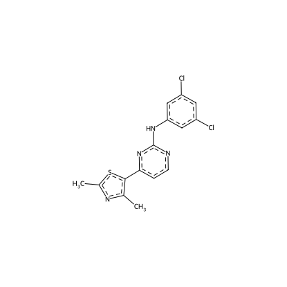 Cc1nc(C)c(-c2ccnc(Nc3cc(Cl)cc(Cl)c3)n2)s1